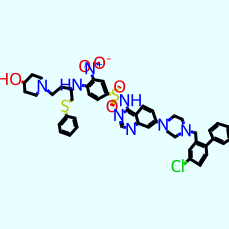 O=[N+]([O-])c1cc(S(=O)(=O)Nc2ncnc3cc(N4CCN(Cc5cc(Cl)ccc5-c5ccccc5)CC4)ccc23)ccc1NC(CCN1CCC(O)CC1)CSc1ccccc1